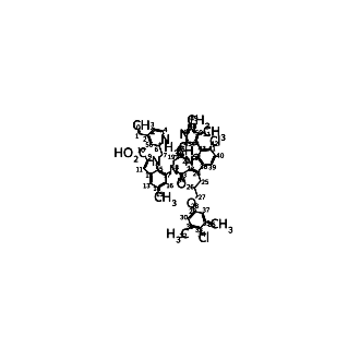 C=Cc1ccnc(Cn2c(C(=O)O)cc3cc(C)cc(N4C[C@@H](C)n5c(c(CCCOc6cc(C)c(Cl)c(C)c6)c6ccc(Cl)c(-c7c(C)nn(C)c7C)c65)C4=O)c32)c1